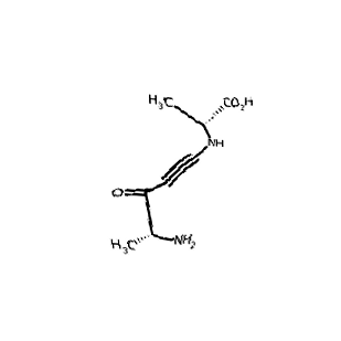 C[C@@H](N)C(=O)C#CN[C@H](C)C(=O)O